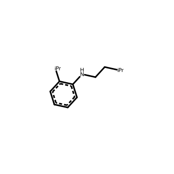 CC(C)CCNc1ccccc1C(C)C